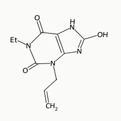 C=CCn1c(=O)n(CC)c(=O)c2[nH]c(O)nc21